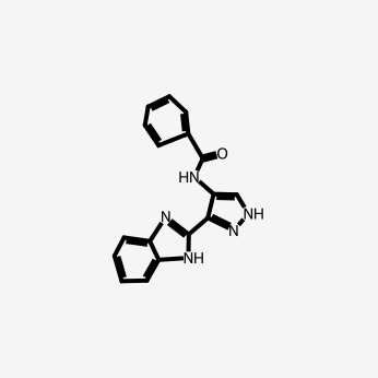 O=C(Nc1c[nH]nc1-c1nc2ccccc2[nH]1)c1ccccc1